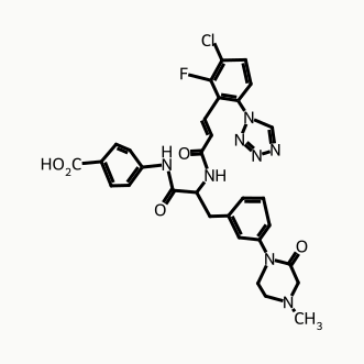 CN1CCN(c2cccc(CC(NC(=O)/C=C/c3c(-n4cnnn4)ccc(Cl)c3F)C(=O)Nc3ccc(C(=O)O)cc3)c2)C(=O)C1